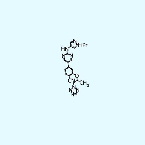 CC(Cn1ncnn1)Oc1cc(-c2cnc(Nc3cnn(C(C)C)c3)nc2)ccc1C#N